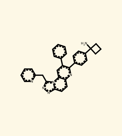 NC1(c2ccc(-c3nc4ccc5nnc(Cc6ccccn6)n5c4cc3-c3ccccc3)cc2)CCC1